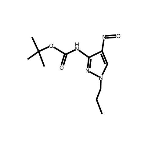 CCCn1cc(N=O)c(NC(=O)OC(C)(C)C)n1